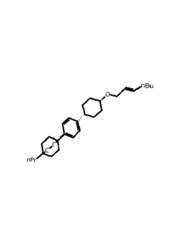 CCCCC=CCO[C@H]1CC[C@H](c2ccc(C34CCC(CCC)(CC3)CC4)cc2)CC1